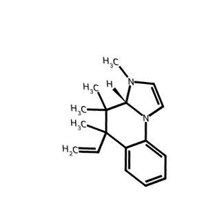 C=CC1(C)c2ccccc2N2C=CN(C)[C@H]2C1(C)C